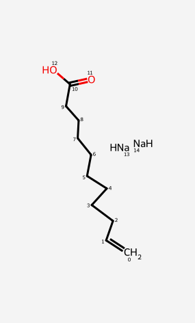 C=CCCCCCCCCC(=O)O.[NaH].[NaH]